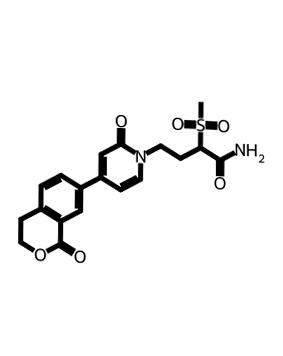 CS(=O)(=O)C(CCn1ccc(-c2ccc3c(c2)C(=O)OCC3)cc1=O)C(N)=O